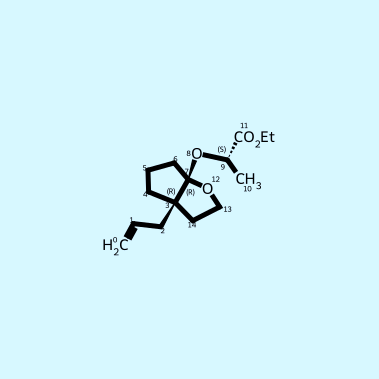 C=CC[C@@]12CCC[C@]1(O[C@@H](C)C(=O)OCC)OCC2